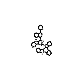 c1ccc(-c2ccc(-c3nc(-n4c5ccccc5c5c6ccccc6c6sc7ccccc7c6c54)nc4c3oc3ccccc34)c3ccccc23)cc1